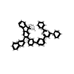 CC1(C)c2ccccc2-c2cc(-c3ccc4ccccc4c3)c(-c3cccc(-c4cccc(-c5cc(-c6ccccc6)nc(-c6ccccc6)n5)c4)c3)cc21